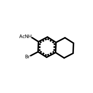 CC(=O)Nc1cc2c(cc1Br)CCCC2